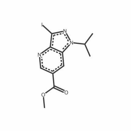 COC(=O)c1cnc2c(I)nn(C(C)C)c2c1